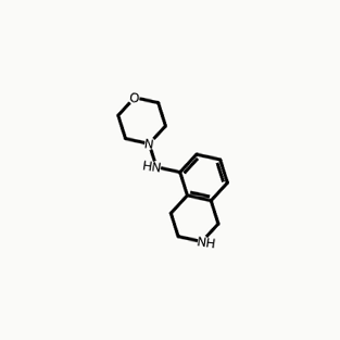 c1cc2c(c(NN3CCOCC3)c1)CCNC2